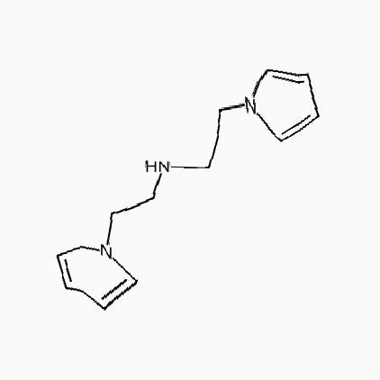 c1ccn(CCNCCn2cccc2)c1